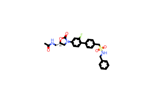 CC(=O)NC[C@H]1CN(c2ccc(-c3ccc(CS(=O)(=O)NCc4ccccc4)cc3)c(F)c2)C(=O)O1